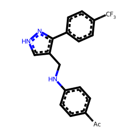 CC(=O)c1ccc(NCc2c[nH]nc2-c2ccc(C(F)(F)F)cc2)cc1